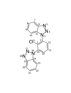 Clc1c(-n2nnc3ccccc32)cccc1-n1nnc2ccccc21